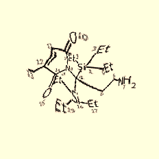 CC[Si](CC)(CC)C(CCN)(N1C(=O)C=C(C)C1=O)[Si](CC)(CC)CC